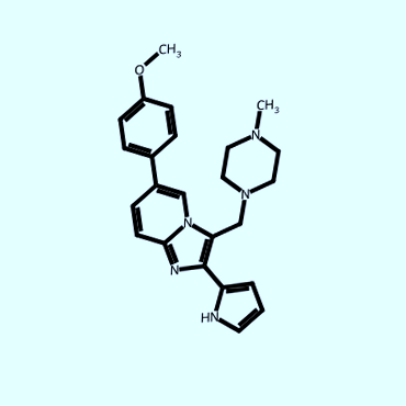 COc1ccc(-c2ccc3nc(-c4ccc[nH]4)c(CN4CCN(C)CC4)n3c2)cc1